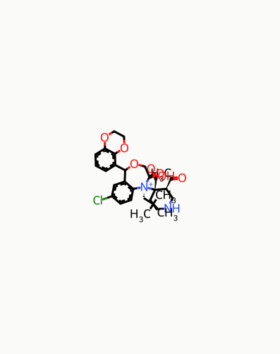 CC(=O)[C@H]1CNCC[C@]1(C(=O)O)[N@+]1(CC(C)(C)C)C(=O)COC(c2cccc3c2OCCO3)c2cc(Cl)ccc21